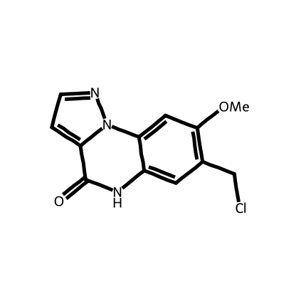 COc1cc2c(cc1CCl)[nH]c(=O)c1ccnn12